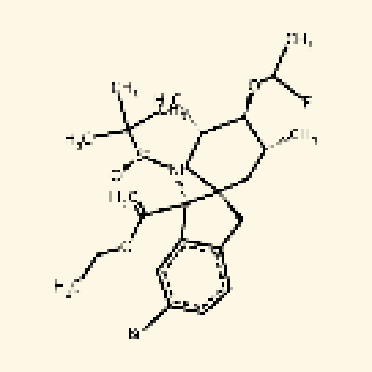 C=C(OCC)[C@]1(N[S@@+]([O-])C(C)(C)C)c2cc(Br)ccc2C[C@@]12C[C@@H](C)[C@H](OC(C)F)[C@@H](C)C2